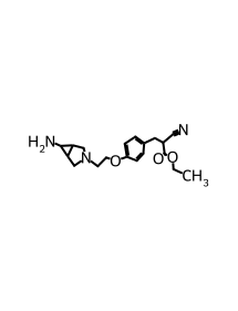 CCOC(=O)C(C#N)Cc1ccc(OCCN2CC3C(N)C3C2)cc1